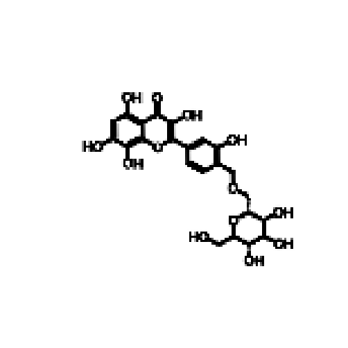 O=c1c(O)c(-c2ccc(COC[C@H]3OC(CO)[C@@H](O)C(O)C3O)c(O)c2)oc2c(O)c(O)cc(O)c12